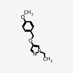 CCn1cc(OCc2ccc(OC)cc2)cn1